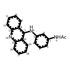 CC(=O)Nc1cccc(Nc2c3ccccc3nc3ccccc23)c1